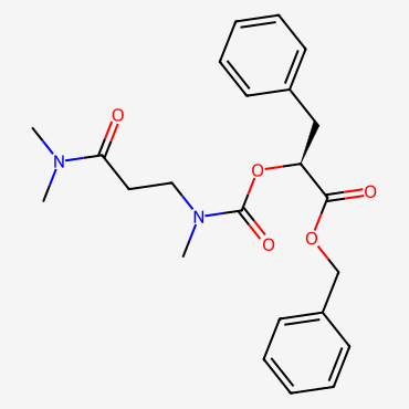 CN(C)C(=O)CCN(C)C(=O)O[C@@H](Cc1ccccc1)C(=O)OCc1ccccc1